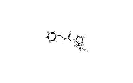 B[C@@H]1O[C@@]2(CC(=O)OCc3ccccc3)CNC1[C@H]2C